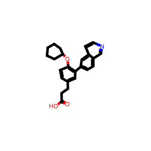 O=C(O)CCc1ccc(OC2CCCCC2)c(-c2ccc3cnccc3c2)c1